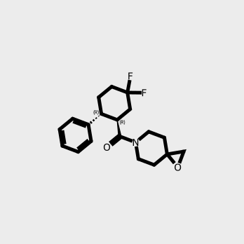 O=C([C@@H]1CC(F)(F)CC[C@H]1c1ccccc1)N1CCC2(CC1)CO2